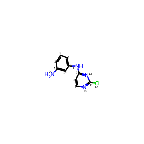 Nc1cccc(Nc2ccnc(Cl)n2)c1